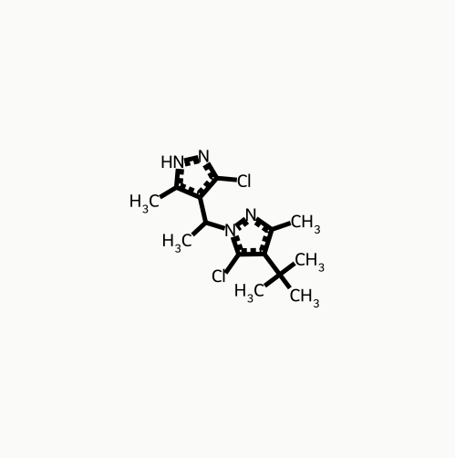 Cc1nn(C(C)c2c(Cl)n[nH]c2C)c(Cl)c1C(C)(C)C